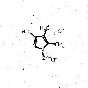 Cc1n[n]([Zr+3])c(C)c1C.[Cl-].[Cl-].[Cl-]